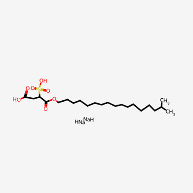 CC(C)CCCCCCCCCCCCCCCOC(=O)C(CC(=O)O)S(=O)(=O)O.[NaH].[NaH]